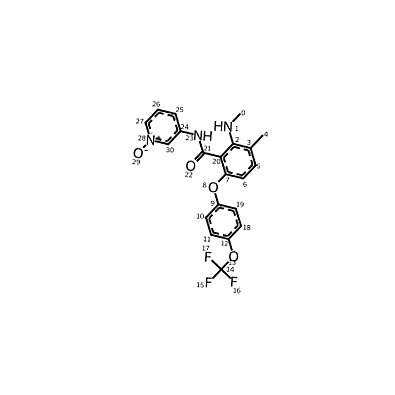 CNc1c(C)ccc(Oc2ccc(OC(F)(F)F)cc2)c1C(=O)Nc1ccc[n+]([O-])c1